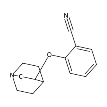 N#Cc1ccccc1OC1CN2CCC1CC2